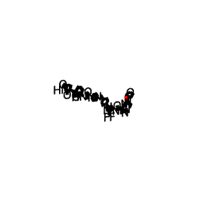 O=C1CCC(c2coc3c(NC(=O)CN4CCN(CC5CCC(n6cc(NC(=O)c7cnn8ccc(N9CC%10CC9CO%10)nc78)c(C(F)F)n6)CC5)CC4)cccc23)C(=O)N1